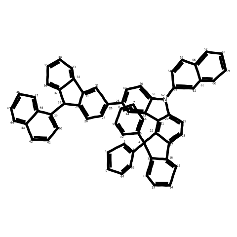 c1ccc(C2(c3ccccc3)c3ccccc3-c3ccc4c(c32)c2cc(-c3ccc5c(c3)-c3ccccc3C5c3cccc5ccccc35)ccc2n4-c2ccc3ccccc3c2)cc1